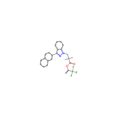 C=C(OC(=O)C(C)(C)Cn1nc(-c2ccc3ccccc3c2)c2ccccc21)C(F)(F)F